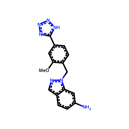 COc1cc(-c2nnn[nH]2)ccc1Cn1ncc2ccc(N)cc21